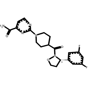 NC(=O)c1ccnc(N2CCC(C(=O)N3OCC[C@H]3c3cc(F)cc(F)c3)CC2)n1